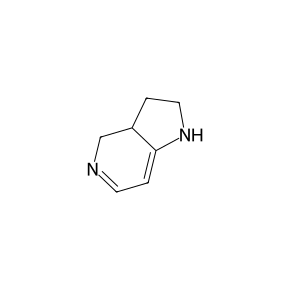 C1=NCC2CCNC2=C1